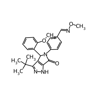 CO/N=C/c1ccc(N2C(=O)c3[nH]nc(C(C)(C)C)c3C2c2ccccc2OC)cc1